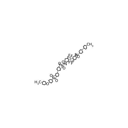 Cc1ccc(Oc2ccc(N3C(=O)c4ccc(-c5ccc6c(c5)C(=O)N(c5nc7cc(C(c8ccc9oc(-c%10ccc(-c%11ccc(C)cc%11)cc%10)nc9c8)(C(F)(F)F)C(F)(F)F)ccc7o5)C6=O)cc4C3=O)cc2)cc1